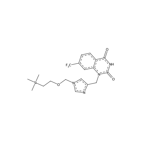 C[Si](C)(C)CCOCn1cnc(Cn2c(=O)[nH]c(=O)c3ccc(C(F)(F)F)cc32)c1